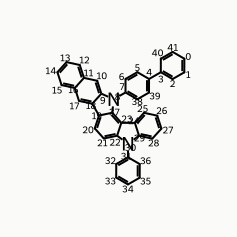 c1ccc(-c2ccc(-n3c4cc5ccccc5cc4c4ccc5c(c6ccccc6n5-c5ccccc5)c43)cc2)cc1